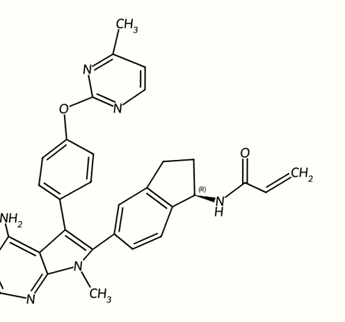 C=CC(=O)N[C@@H]1CCc2cc(-c3c(-c4ccc(Oc5nccc(C)n5)cc4)c4c(N)ncnc4n3C)ccc21